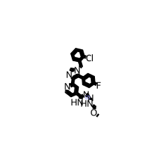 COCN/N=N\C(=N)c1ccnc(-c2ncn(Cc3ccccc3Cl)c2-c2ccc(F)cc2)c1